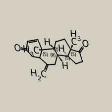 C=C1C[C@@H]2[C@@H](CC[C@]3(C)C(=O)CC[C@@H]23)[C@@]2(C)C=CC(=O)CC12